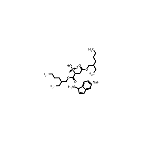 CCCCC(CC)COC(=O)CC(C(=O)OCC(CC)CCCC)S(=O)(=O)O.[AlH2][CH]1C=Cc2ccccc21.[NaH]